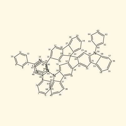 c1ccc(-c2nc(-c3ccccc3)nc(-c3ccc4c(c3)C3(c5ccccc5-4)c4cc5c(cc4-c4cc6c7ccccc7n(-c7ccccc7)c6cc43)c3ccccc3n5-c3ccccc3)n2)cc1